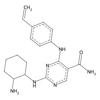 C=Cc1ccc(Nc2nc(NC3CCCCC3N)ncc2C(N)=O)cc1